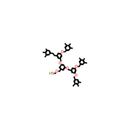 Cc1cc(CCc2cc(COc3cc(COCS)cc(OCc4cc(OCc5cc(C)c(C)c(C)c5)cc(OCc5cc(C)c(C)c(C)c5)c4)c3)cc(OCc3cc(C)c(C)c(C)c3)c2)cc(C)c1C